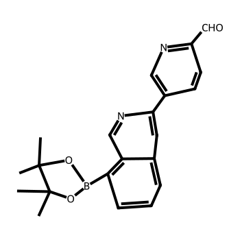 CC1(C)OB(c2cccc3cc(-c4ccc(C=O)nc4)ncc23)OC1(C)C